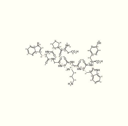 CC(C)[C@H](NC(=O)CNC(=O)[C@H](Cc1c[nH]c2ccccc12)NC(=O)[C@@H]1CCCN1C(=O)[C@@H](N)CC(=O)O)C(=O)N[C@@H](CCCCN)C(=O)N[C@@H](Cc1c[nH]c2ccccc12)C(=O)N[C@@H](Cc1ccc(O)cc1)C(=O)O